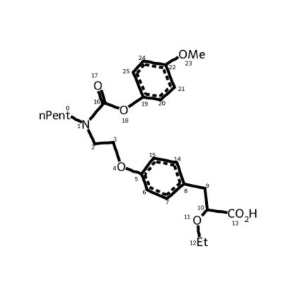 CCCCCN(CCOc1ccc(CC(OCC)C(=O)O)cc1)C(=O)Oc1ccc(OC)cc1